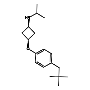 CC(C)N[C@H]1C[C@@H](Oc2ccc(CC(C)(C)C)cc2)C1